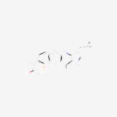 Cc1c(Cl)c(Nc2ccc3c(c2)OCC(=O)N3C)nc2c1ncn2CC1CC1